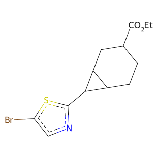 CCOC(=O)C1CCC2C(C1)C2c1ncc(Br)s1